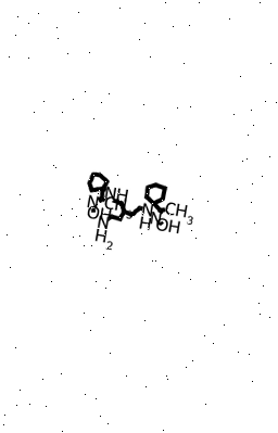 C/C(=N\O)C1(NCCC(CCN)CCNC2(/C(C)=N/O)CCCCC2)CCCCC1